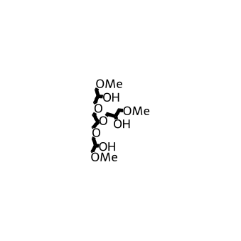 COCC(O)COCC(COCC(O)COC)OCC(O)COC